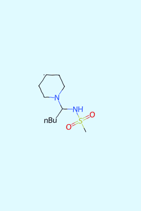 CCCCC(NS(C)(=O)=O)N1CC[CH]CC1